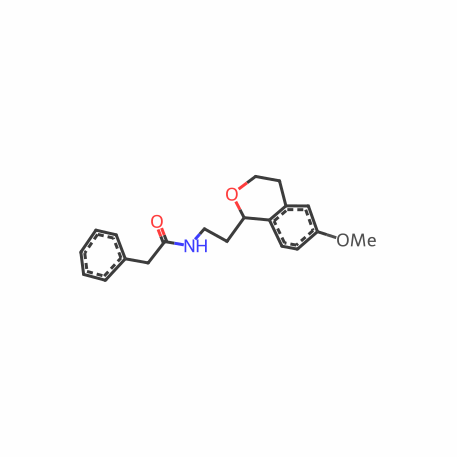 COc1ccc2c(c1)CCOC2CCNC(=O)Cc1ccccc1